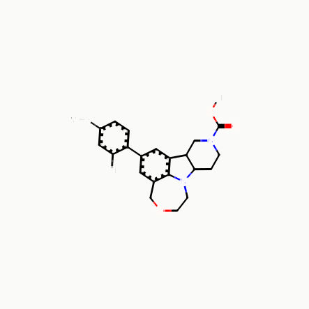 COc1ccc(-c2cc3c4c(c2)C2CN(C(=O)OC(C)(C)C)CCC2N4CCOC3)c(C(F)(F)F)c1